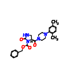 Cc1ccc(C)c(N2CCN(C(=O)[C@@H]3CNC(=O)N3C(=O)OCc3ccccc3)CC2)c1